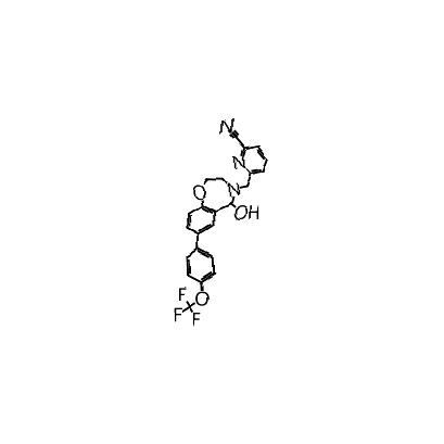 N#Cc1cccc(CN2CCOc3ccc(-c4ccc(OC(F)(F)F)cc4)cc3C2O)n1